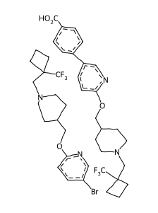 FC(F)(F)C1(CN2CCC(COc3ccc(Br)cn3)CC2)CCC1.O=C(O)c1ccc(-c2ccc(OCC3CCN(CC4(C(F)(F)F)CCC4)CC3)nc2)cc1